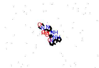 Cc1cccnc1[C@H](Nc1c(Nc2ccnc(C(=O)N3CCOCC3)c2O)c(=O)c1=O)C1(C)CCCC1